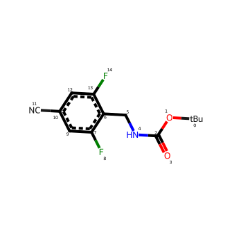 CC(C)(C)OC(=O)NCc1c(F)cc(C#N)cc1F